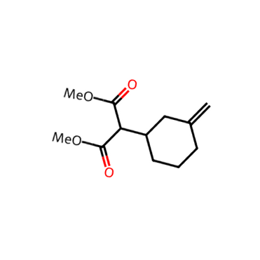 C=C1CCCC(C(C(=O)OC)C(=O)OC)C1